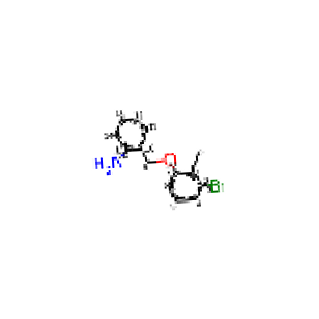 Cc1c(Br)cccc1OCc1ccccc1N